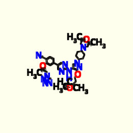 COC(C)(C)CCOc1nn([C@H]2CC[C@H](N3C[C@@H](C)O[C@@H](C)C3)CC2)cc1Nc1ncc(-c2ccc(C#N)c(O[C@@H](C)Cn3cnnn3)c2)cn1